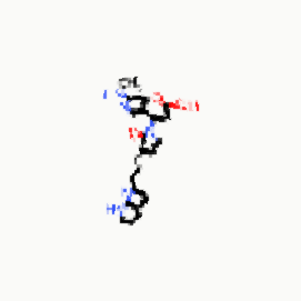 CNc1ccc(C(CC(=O)O)N2CCC(CCCc3ccc4c(n3)NCCC4)C2=O)cn1